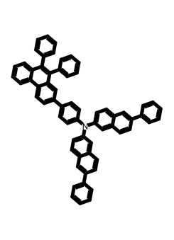 c1ccc(-c2ccc3cc(N(c4ccc(-c5ccc6c(c5)c(-c5ccccc5)c(-c5ccccc5)c5ccccc56)cc4)c4ccc5cc(-c6ccccc6)ccc5c4)ccc3c2)cc1